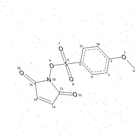 COc1ccc(S(=O)(=O)ON2C(=O)C=CC2=O)cc1